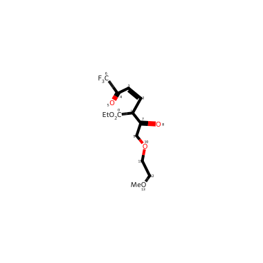 CCOC(=O)C(/C=C\C(=O)C(F)(F)F)C(=O)COCCOC